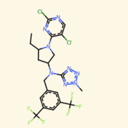 CCC1CC(N(Cc2cc(C(F)(F)F)cc(C(F)(F)F)c2)c2nnn(C)n2)CN1c1nc(Cl)ncc1Cl